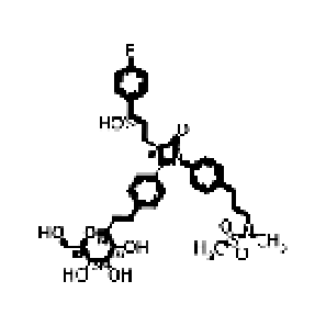 CN(CCCc1ccc(N2C(=O)[C@H](CC[C@H](O)c3ccc(F)cc3)[C@H]2c2ccc(CC[C@@H]3O[C@H](CO)[C@@H](O)[C@H](O)[C@@H]3O)cc2)cc1)S(C)(=O)=O